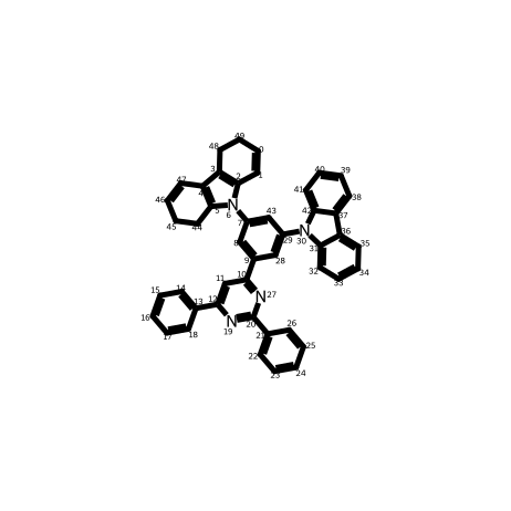 C1=Cc2c(c3c(n2-c2cc(-c4cc(-c5ccccc5)nc(-c5ccccc5)n4)cc(-n4c5ccccc5c5ccccc54)c2)CCC=C3)CC1